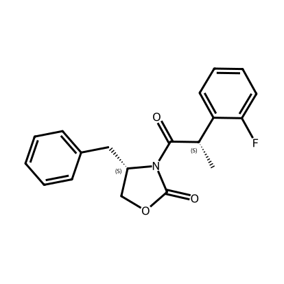 C[C@H](C(=O)N1C(=O)OC[C@@H]1Cc1ccccc1)c1ccccc1F